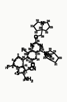 N#Cc1c(N)sc2c(F)ccc(-c3c(Cl)cc4c(N5CC6CCC(C5)N6)nc(OCC56CCCN5CCC6)nc4c3F)c12